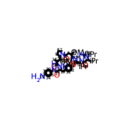 CCC(C)C(C(CC(=O)N1CCCC1C(OC)C(C)C(=O)NC(Cc1ccccc1)C(=O)Nc1ccc(N)cc1)OC)N(C)C(=O)[C@@H](NC(=O)C(C(C)C)N(C)C(C)C)C(C)C